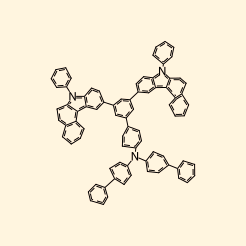 c1ccc(-c2ccc(N(c3ccc(-c4ccccc4)cc3)c3ccc(-c4cc(-c5ccc6c(c5)c5c7ccccc7ccc5n6-c5ccccc5)cc(-c5ccc6c(c5)c5c7ccccc7ccc5n6-c5ccccc5)c4)cc3)cc2)cc1